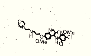 COc1cc(Nc2c(C#N)cnc3cc(OCCCNCCN4CCOCC4)c(OC)cc23)c(Cl)cc1Cl